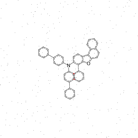 c1ccc(-c2ccc(N(c3ccc(-c4ccccc4)cc3)c3ccc4c(oc5ccc6ccccc6c54)c3-c3ccccc3)cc2)cc1